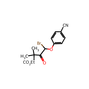 CCOC(=O)C(C)(C)C(=O)C(Br)Oc1ccc(C#N)cc1